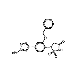 CCCn1cc(-c2ccc(N3CC(=O)NS3(=O)=O)c(OCc3ccccc3)c2)cn1